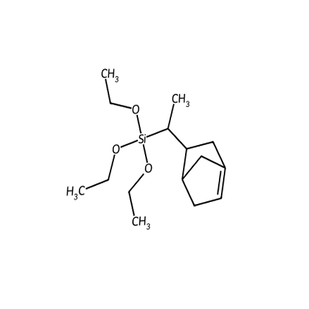 CCO[Si](OCC)(OCC)C(C)C1CC2=CCC1C2